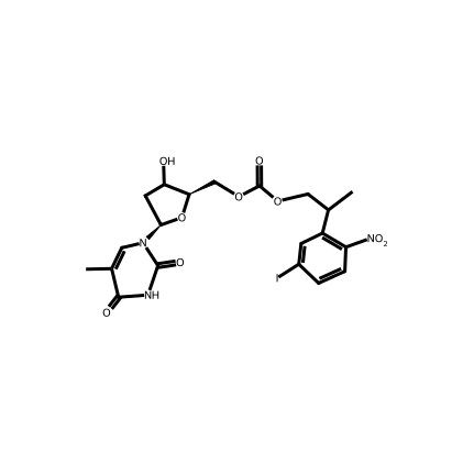 Cc1cn([C@H]2CC(O)[C@@H](COC(=O)OCC(C)c3cc(I)ccc3[N+](=O)[O-])O2)c(=O)[nH]c1=O